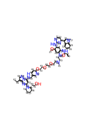 C=CC(=O)Nc1cc(Nc2nccc(-c3cn(C)c4ccccc34)n2)c(OC)cc1N(C)CCN(C)CCOCCOCCOc1ccc(CNc2cc(N3CCCC[C@H]3CCO)nc3c(CC)cnn23)cn1